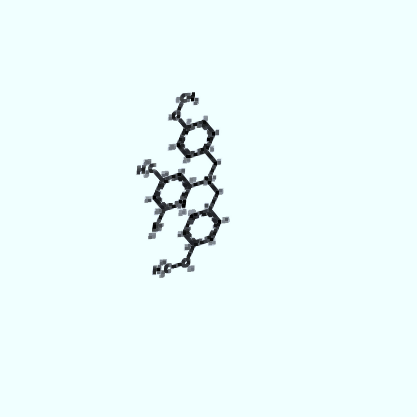 COc1ccc(CN(Cc2ccc(OC)cc2)c2cc(C)cc(Br)n2)cc1